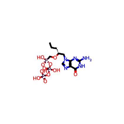 CCC[C@H](Cn1cnc2c(=O)[nH]c(N)nc21)OCP(=O)(O)OP(=O)(O)OP(=O)(O)O